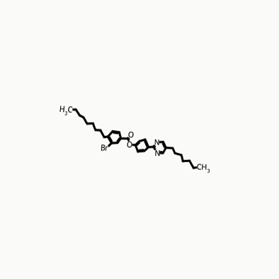 CCCCCCCCCc1ccc(C(=O)Oc2ccc(-c3ncc(CCCCCCC)cn3)cc2)cc1Br